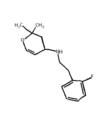 CC1(C)CC(NCCc2ccccc2F)C=CO1